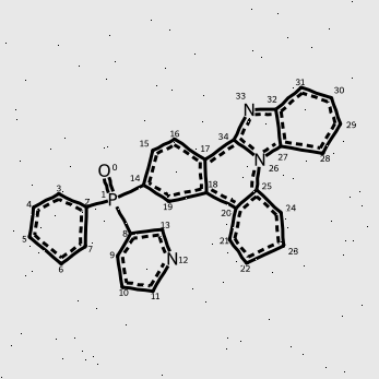 O=P(c1ccccc1)(c1cccnc1)c1ccc2c(c1)c1ccccc1n1c3ccccc3nc21